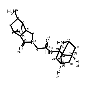 NC1CC2OC1C1CN(CC(=O)NC34C[C@@H]5CC(C[C@@H](C5)C3)N4)C(=O)C21